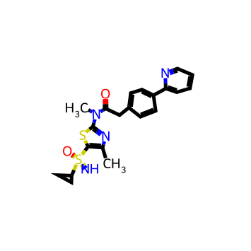 Cc1nc(N(C)C(=O)Cc2ccc(-c3ccccn3)cc2)sc1S(=N)(=O)C1CC1